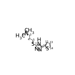 CN(C)CCCSc1nnc(-c2cccs2)[nH]1